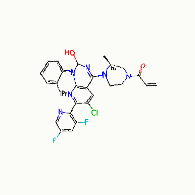 C=CC(=O)N1CCN(C2=NC(O)N(c3ccccc3C(C)C)c3nc(-c4ncc(F)cc4F)c(Cl)cc32)[C@@H](C)C1